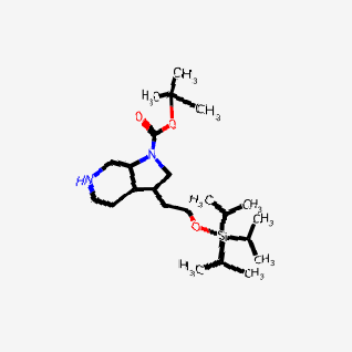 CC(C)[Si](OCCC1CN(C(=O)OC(C)(C)C)C2CNCCC12)(C(C)C)C(C)C